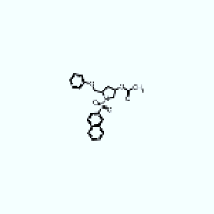 CC(=O)OC1CC(COc2ccccc2)N(S(=O)(=O)c2ccc3ccccc3c2)C1